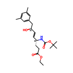 CCOC(=O)CC[C@H](C=C[C@@H](O)Cc1cc(C)cc(C)c1)NC(=O)OC(C)(C)C